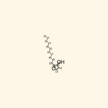 CCCCCCCCCCCc1occc1O